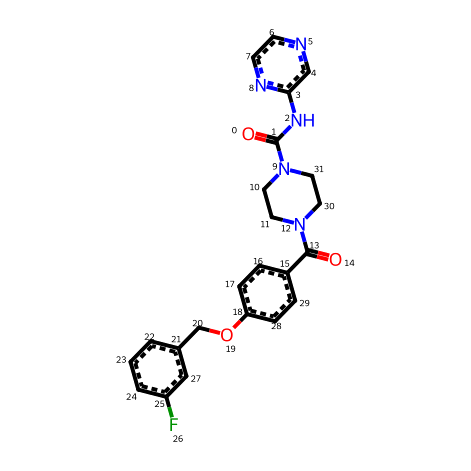 O=C(Nc1cnccn1)N1CCN(C(=O)c2ccc(OCc3cccc(F)c3)cc2)CC1